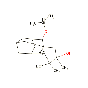 C[SiH](C)OC1C2CC3CC(C2)CC1(CC(C)(O)C(C)(C)C)C3